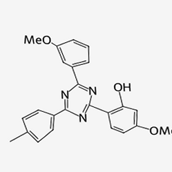 COc1cccc(-c2nc(-c3ccc(C)cc3)nc(-c3ccc(OC)cc3O)n2)c1